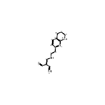 N=C/C(C=O)=C\NCCc1ccc2c(n1)NCCC2